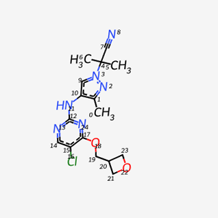 Cc1nn(C(C)(C)C#N)cc1Nc1ncc(Cl)c(OCC2COC2)n1